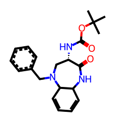 CC(C)(C)OC(=O)N[C@H]1CN(Cc2ccccc2)C2C=CC=CC2NC1=O